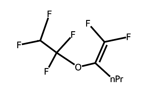 CCCC(OC(F)(F)[C](F)F)=C(F)F